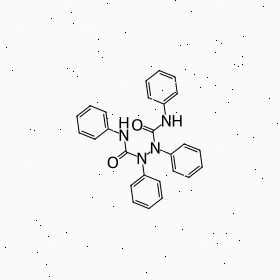 O=C(Nc1ccccc1)N(c1ccccc1)N(C(=O)Nc1ccccc1)c1ccccc1